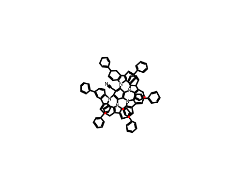 N#Cc1c(-n2c3c(c4cc(-c5ccccc5)ccc42)CC(C2=CCCC=C2)C=C3)c(N2C3=C(CCC=C3)C3C=CC=CC32)c(-n2c3ccc(-c4ccccc4)cc3c3cc(-c4ccccc4)ccc32)c(-n2c3c(c4ccccc42)CCC=C3)c1-n1c2ccc(-c3ccccc3)cc2c2cc(-c3ccccc3)ccc21